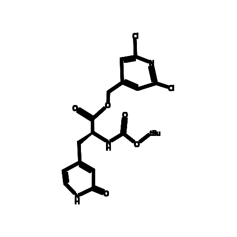 CC(C)(C)OC(=O)N[C@@H](Cc1cc[nH]c(=O)c1)C(=O)OCc1cc(Cl)nc(Cl)c1